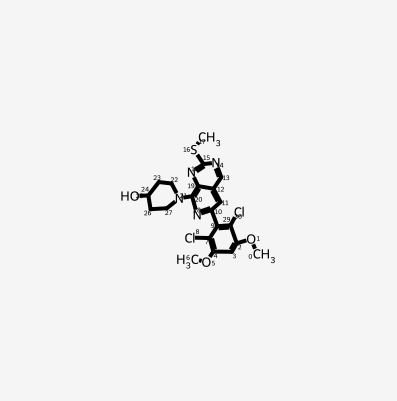 COc1cc(OC)c(Cl)c(-c2cc3cnc(SC)nc3c(N3CCC(O)CC3)n2)c1Cl